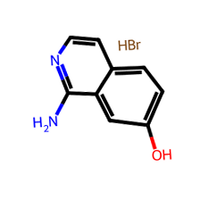 Br.Nc1nccc2ccc(O)cc12